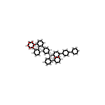 c1ccc(-c2ccc(-c3ccc(N(c4ccc(-c5cccc(-c6ccccc6)c5-c5ccccc5-c5ccccc5)cc4)c4ccccc4-c4ccccc4)cc3)cc2)cc1